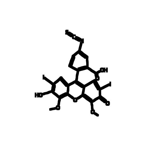 COc1c2oc3c(OC)c(O)c(I)cc3c(-c3ccc(N=C=S)cc3C(=O)O)c-2cc(I)c1=O